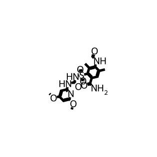 COc1cc(NC(=O)NS(=O)(=O)c2c(C(N)=O)cc(C)c(NC=O)c2C)nc(OC)c1